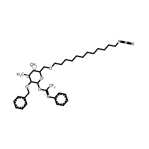 C[C@@H]1C(COCCCCCCCCCCCCN=[N+]=[N-])OC(O/C(=N/c2ccccc2)C(F)(F)F)C(OCc2ccccc2)[C@H]1C